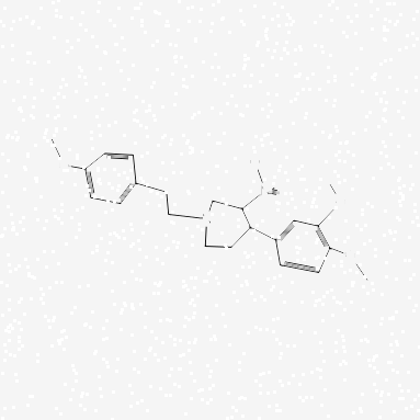 COc1ccc(CCN2CCC(c3ccc(OC)c(OC)c3)C([N+](=O)[O-])C2)cc1